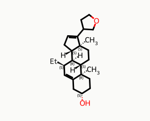 CC[C@@H]1C=C2C[C@@H](O)CC[C@]2(C)[C@H]2CC[C@]3(C)C(C4CCOC4)=CC[C@H]3[C@H]12